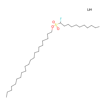 CCCCCCCCCCCCCCCCCCCCCOS(=O)(=O)C(F)CCCCCCCCCC.[LiH]